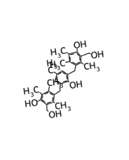 Cc1cc(Cc2c(C)c(C)c(O)c(CO)c2C)c(O)c(Cc2c(C)c(C)c(O)c(CO)c2C)c1